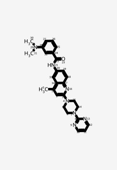 Cc1cc(N2CCN(c3ncccn3)CC2)nc2ccc(NC(=O)c3cccc(N(C)C)c3)cc12